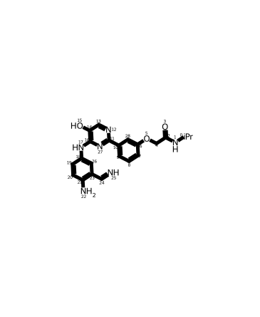 CC(C)NC(=O)COc1cccc(-c2ncc(O)c(Nc3ccc(N)c(C=N)c3)n2)c1